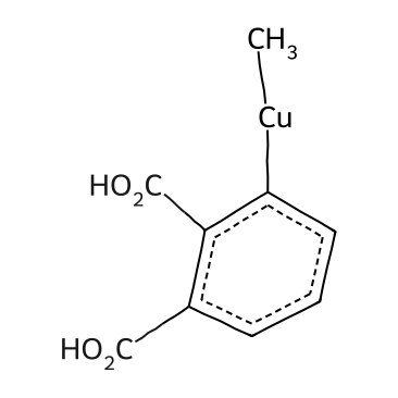 [CH3][Cu][c]1cccc(C(=O)O)c1C(=O)O